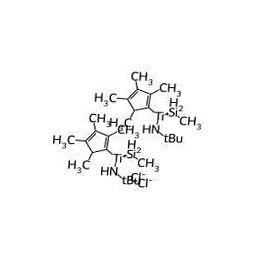 C[SiH2][Ti+]([NH]C(C)(C)C)[C]1=C(C)C(C)=C(C)C1C.C[SiH2][Ti+]([NH]C(C)(C)C)[C]1=C(C)C(C)=C(C)C1C.[Cl-].[Cl-]